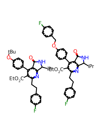 CCOC(=O)c1c(CCc2ccc(F)cc2)nc2c(c1-c1ccc(OC(C)(C)C)cc1)C(=O)NC2C(C)C.CCOC(=O)c1c(CCc2ccc(F)cc2)nc2c(c1-c1ccc(OCc3ccc(F)cc3)cc1)C(=O)NC2C(C)C